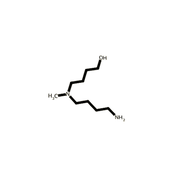 CN(CCCCN)CCCCO